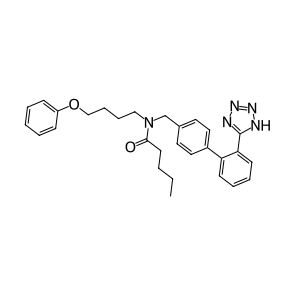 CCCCC(=O)N(CCCCOc1ccccc1)Cc1ccc(-c2ccccc2-c2nnn[nH]2)cc1